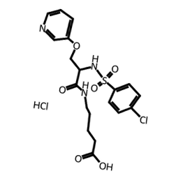 Cl.O=C(O)CCCCNC(=O)C(COc1cccnc1)NS(=O)(=O)c1ccc(Cl)cc1